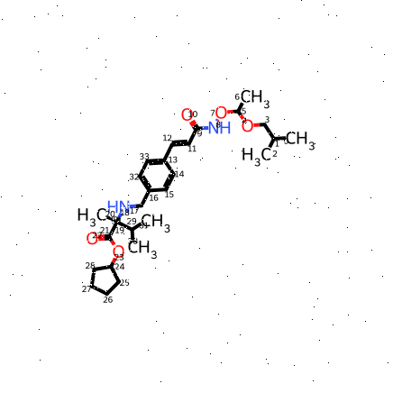 CC(C)COC(C)ONC(=O)C=Cc1ccc(CN[C@@](C)(C(=O)OC2CCCC2)C(C)C)cc1